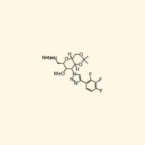 CO[C@@H]1C(n2cc(-c3ccc(F)c(F)c3F)nn2)[C@H]2OC(C)(C)OC[C@H]2O[C@@H]1CN=[N+]=[N-]